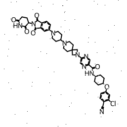 N#Cc1ccc(O[C@H]2CC[C@H](NC(=O)c3cnc(N4CC5(CCN(C6CCN(c7ccc8c(c7)C(=O)N(C7CCC(=O)NC7=O)C8=O)CC6)CC5)C4)cn3)CC2)cc1Cl